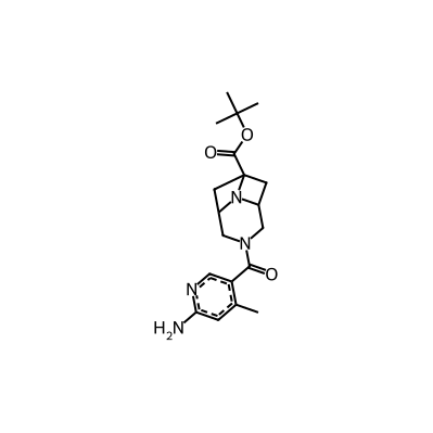 Cc1cc(N)ncc1C(=O)N1CC2CC3(C(=O)OC(C)(C)C)CC(C1)N23